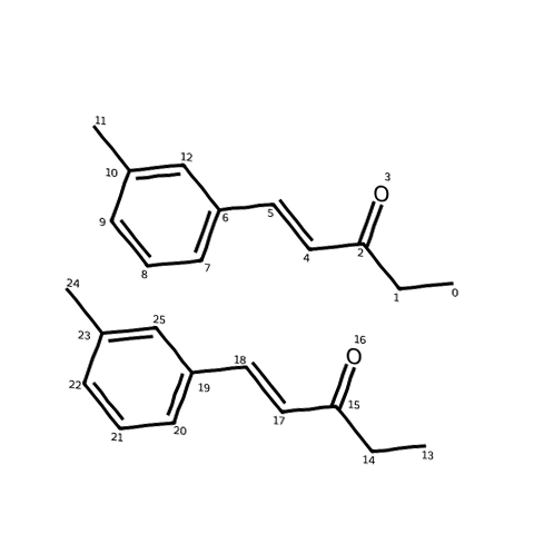 CCC(=O)/C=C/c1cccc(C)c1.CCC(=O)/C=C/c1cccc(C)c1